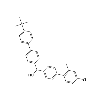 Cc1cc(Cl)ccc1-c1ccc(C(O)c2ccc(-c3ccc(C(C)(C)C)cc3)cc2)cc1